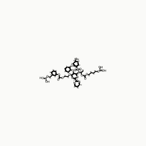 COc1ccccc1Oc1c(OCCOC(=O)Oc2cccc(CON(O)O)c2)nc(-c2ncccn2)nc1N(C(C)OC(=O)OCCCCON(O)O)S(=O)(=O)c1ccc(C(C)(C)C)cc1